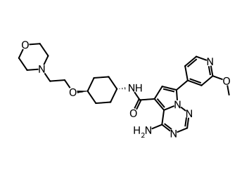 COc1cc(-c2cc(C(=O)N[C@H]3CC[C@H](OCCN4CCOCC4)CC3)c3c(N)ncnn23)ccn1